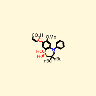 CCCCC1(CCCC)CN(c2ccccc2)c2cc(OC)c(O/C=C\C(=O)O)cc2S(O)(O)C1